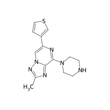 Cc1nc2c(N3CCNCC3)nc(-c3ccsc3)cn2n1